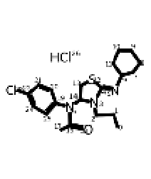 CCCN1C(=NC2CCCCC2)SCC1N(C(C)=O)c1ccc(Cl)cc1.Cl